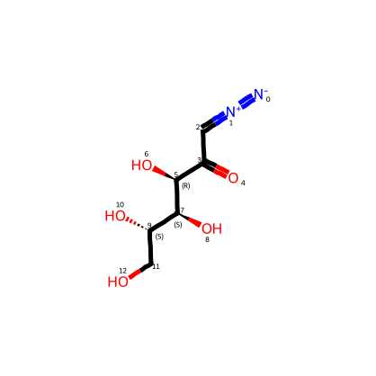 [N-]=[N+]=CC(=O)[C@H](O)[C@@H](O)[C@@H](O)CO